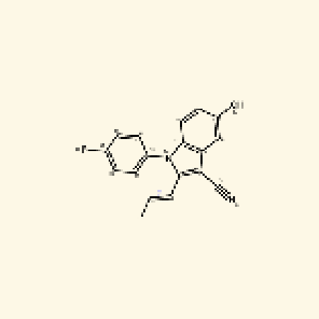 C/C=C/c1c(C#N)c2cc(O)ccc2n1-c1ccc(F)cc1